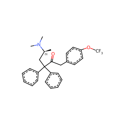 C[C@@H](CC(C(=O)Cc1ccc(OC(F)(F)F)cc1)(c1ccccc1)c1ccccc1)N(C)C